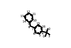 CC(C)(C)c1c[c]c(Cc2ccccc2)cc1